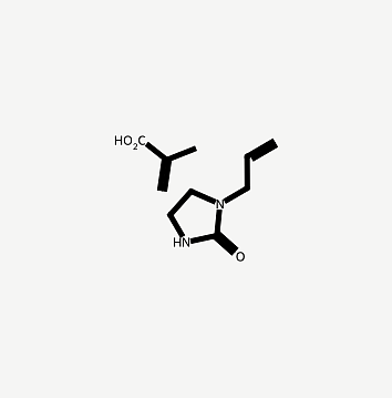 C=C(C)C(=O)O.C=CCN1CCNC1=O